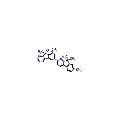 Cc1ccc2c(c1)C(C)(C)c1nc(-c3cc(C)c4c(c3)-c3cccnc3C4(C)C)ccc1-2